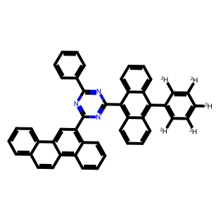 [2H]c1c([2H])c([2H])c(-c2c3ccccc3c(-c3nc(-c4ccccc4)nc(-c4cc5c6ccccc6ccc5c5ccccc45)n3)c3ccccc23)c([2H])c1[2H]